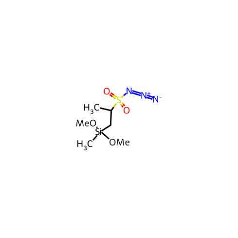 CO[Si](C)(CC(C)S(=O)(=O)N=[N+]=[N-])OC